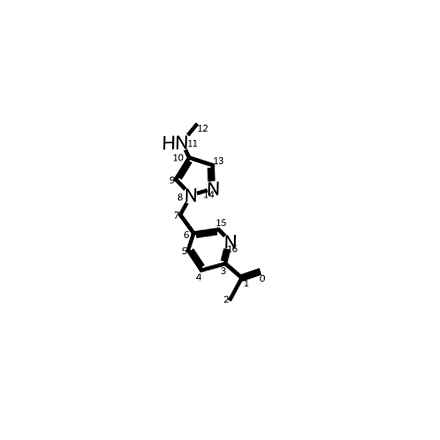 C=C(C)c1ccc(Cn2cc(NC)cn2)cn1